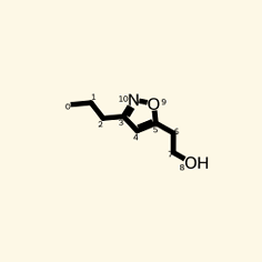 CCCc1cc(CCO)on1